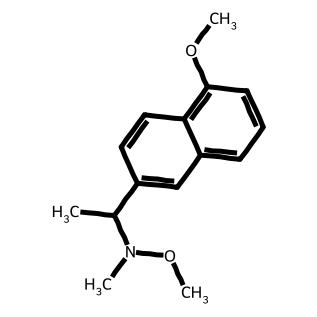 COc1cccc2cc(C(C)N(C)OC)ccc12